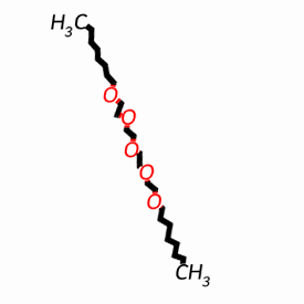 CCCCCCCCOCCOCCOCCOCCOCCCCCCCC